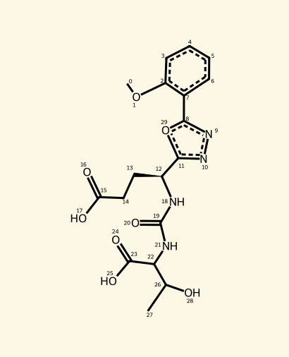 COc1ccccc1-c1nnc([C@H](CCC(=O)O)NC(=O)NC(C(=O)O)C(C)O)o1